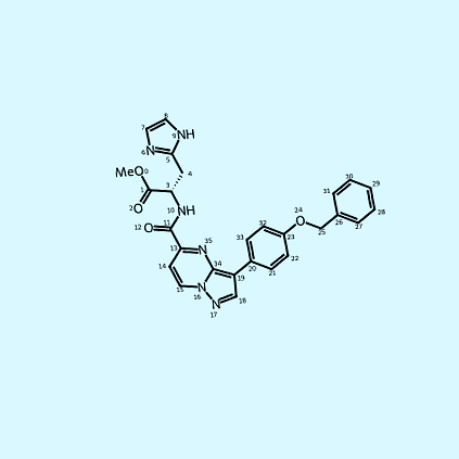 COC(=O)[C@H](Cc1ncc[nH]1)NC(=O)c1ccn2ncc(-c3ccc(OCc4ccccc4)cc3)c2n1